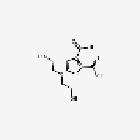 O=C(O)c1ccoc1C(=O)O.OCCOCCO